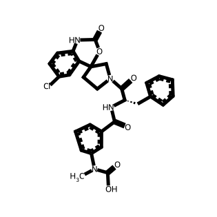 CN(C(=O)O)c1cccc(C(=O)N[C@@H](Cc2ccccc2)C(=O)N2CCC3(C2)OC(=O)Nc2ccc(Cl)cc23)c1